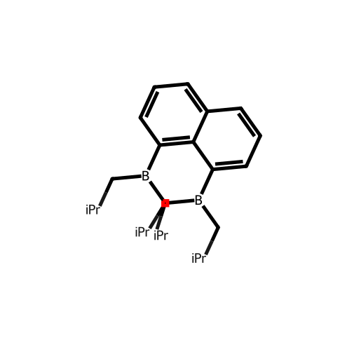 CC(C)CB(CC(C)C)c1cccc2cccc(B(CC(C)C)CC(C)C)c12